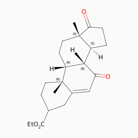 CCOC(=O)C1CC[C@@]2(C)C(=CC(=O)[C@@H]3[C@H]2CC[C@]2(C)C(=O)CC[C@@H]32)C1